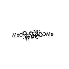 COc1ccc(S(=O)(=O)n2ccc3c(Nc4cccc(OC)c4OC)ccc(N=O)c32)cc1